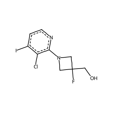 OCC1(F)CN(c2nccc(I)c2Cl)C1